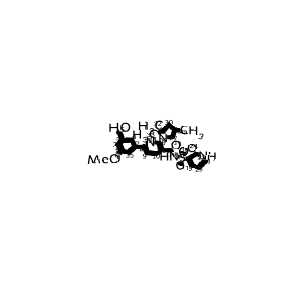 COc1cc(CO)cc(-c2ccc(C(=O)NS(=O)(=O)c3ccc[nH]c3=O)c(N3CC(C)CC3(C)C)n2)c1